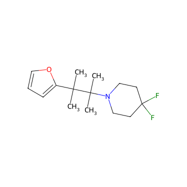 CC(C)(c1ccco1)C(C)(C)N1CCC(F)(F)CC1